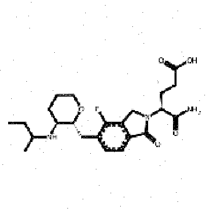 CCC(C)N[C@H]1CCCO[C@@H]1Cc1ccc2c(c1F)CN([C@@H](CCC(=O)O)C(N)=O)C2=O